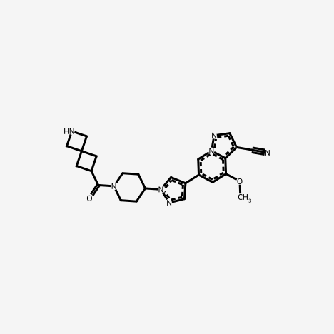 COc1cc(-c2cnn(C3CCN(C(=O)C4CC5(CNC5)C4)CC3)c2)cn2ncc(C#N)c12